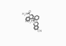 COC1(C2(C(C(=O)O)N3CCc4cc(C#N)ccc4C3)CCCCC2)C=CN(C(N)=O)c2ccccc21